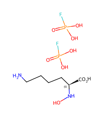 NCCCC[C@H](NO)C(=O)O.O=P(O)(O)F.O=P(O)(O)F